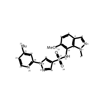 COc1ccc2cnn(C)c2c1NS(=O)(=O)c1cnn(-c2cc(C(C)(C)C)ccn2)c1